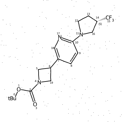 CC(C)(C)OC(=O)N1CC(c2ccc(N3CC[C@H](C(F)(F)F)C3)nc2)C1